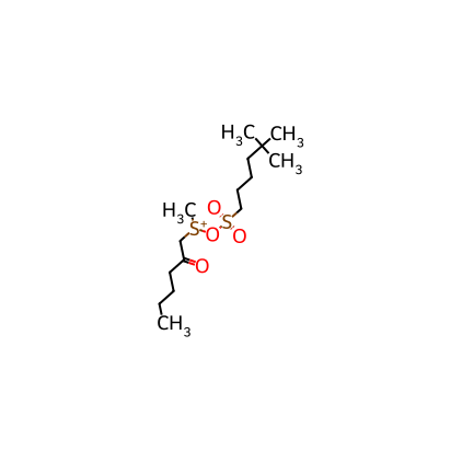 CCCCC(=O)C[S+](C)OS(=O)(=O)CCCCC(C)(C)C